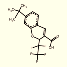 CC(C)(C)c1ccc2c(c1)OC(C(F)(F)C(F)(F)F)C(C(=O)O)=C2